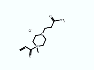 C=CC(=O)[N+]1(C)CCN(CCC(N)=O)CC1.[Cl-]